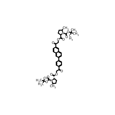 CC1CCC(C(=O)OCC(=O)c2ccc3cc(-c4ccc(C(=O)COC(=O)[C@@H]5CC[C@H](C)N5C(=O)OC(C)(C)C)cc4)ccc3c2)N1C(=O)OC(C)(C)C